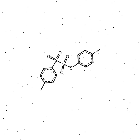 Cc1ccc(SS(=O)(=O)S(=O)(=O)c2ccc(C)cc2)cc1